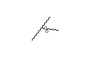 CCCCCCCCCCC(CCCCCCCC)COC(=O)CCCCCCC